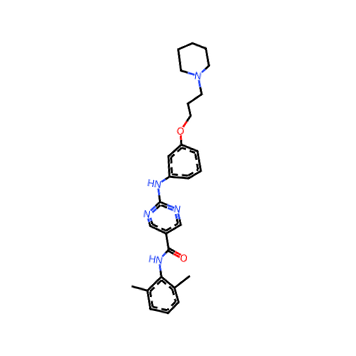 Cc1cccc(C)c1NC(=O)c1cnc(Nc2cccc(OCCCN3CCCCC3)c2)nc1